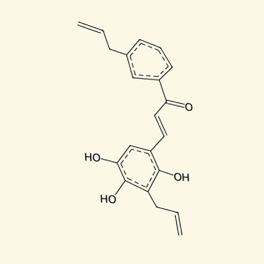 C=CCc1cccc(C(=O)C=Cc2cc(O)c(O)c(CC=C)c2O)c1